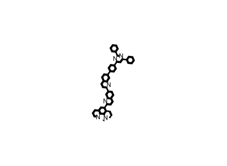 C=Nc1c(/C=C\C)c(-c2ccc3ccc(-c4ccc5ccc(-c6ccc(-c7cc(-c8ccccc8)nc(-c8ccccc8)n7)cc6)cc5n4)cc3n2)cc2cccnc12